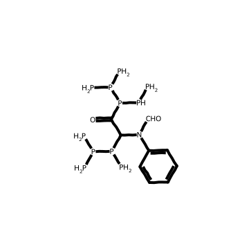 O=CN(c1ccccc1)C(C(=O)P(PP)P(P)P)P(P)P(P)P